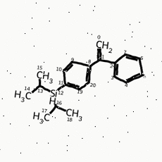 C=C(c1ccccc1)c1ccc([SiH](C(C)C)C(C)C)cc1